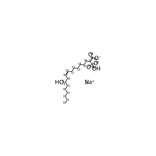 CCCCCC[C@@H](O)C/C=C\CCCCCCC(C(=O)[O-])S(=O)(=O)O.[Na+]